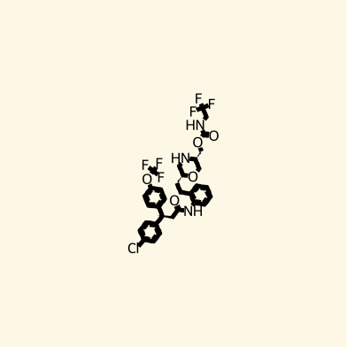 O=C(C[C@@H](c1ccc(Cl)cc1)c1ccc(OC(F)(F)F)cc1)Nc1ccccc1CC[C@@H]1CN[C@H](COC(=O)NCC(F)(F)F)CO1